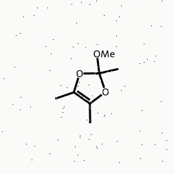 COC1(C)OC(C)=C(C)O1